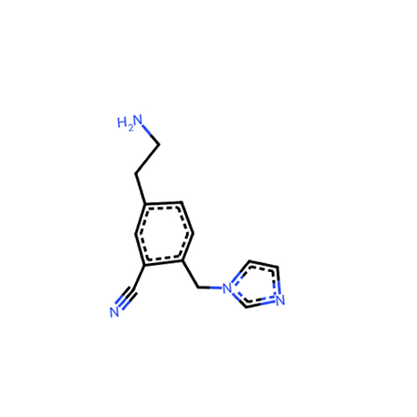 N#Cc1cc(CCN)ccc1Cn1ccnc1